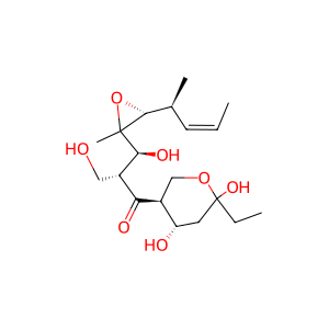 C/C=C\[C@H](C)[C@H]1OC1(C)[C@@H](O)[C@@H](CO)C(=O)[C@H]1COC(O)(CC)C[C@@H]1O